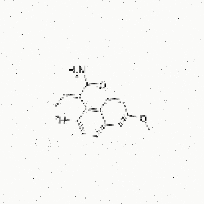 [2H]c1ccc2cc(OC)ccc2c1/C(=C\C)C(N)=O